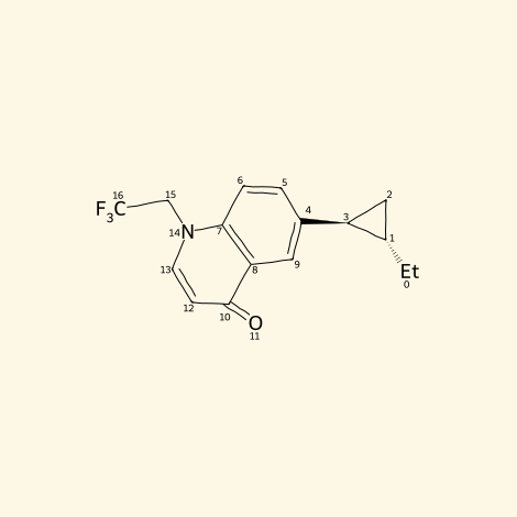 CC[C@H]1C[C@@H]1c1ccc2c(c1)c(=O)ccn2CC(F)(F)F